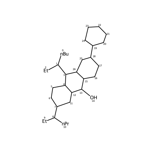 CCCCC(CC)C1C2CCC(C(CC)CCC)CC2C(O)C2CCC(C3CCCCC3)CC21